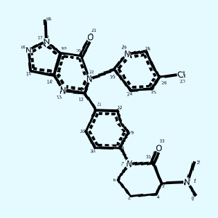 CN(C)C1CCCN(c2ccc(-c3nc4cnn(C)c4c(=O)n3-c3ccc(Cl)cn3)cc2)C1=O